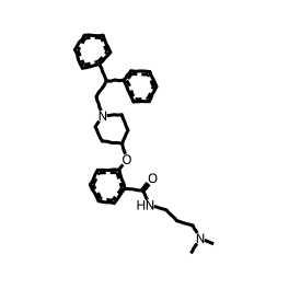 CN(C)CCCNC(=O)c1ccccc1OC1CCN(CC(c2ccccc2)c2ccccc2)CC1